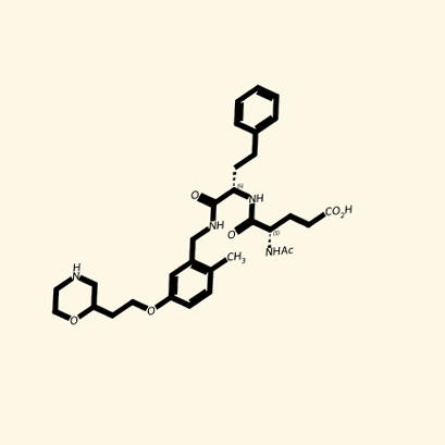 CC(=O)N[C@@H](CCC(=O)O)C(=O)N[C@@H](CCc1ccccc1)C(=O)NCc1cc(OCCC2CNCCO2)ccc1C